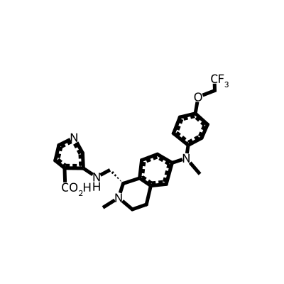 CN(c1ccc(OCC(F)(F)F)cc1)c1ccc2c(c1)CCN(C)[C@@H]2CNc1cnccc1C(=O)O